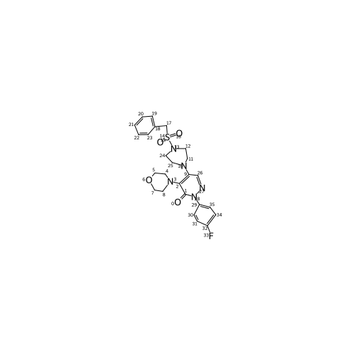 O=c1c(N2CCOCC2)c(N2CCN(S(=O)(=O)Cc3ccccc3)CC2)cnn1-c1ccc(F)cc1